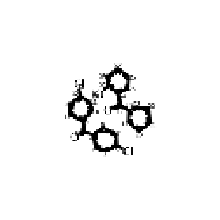 O=C(c1ccc(Cl)cc1)c1ccc(Cl)cc1.O=C(c1ccccc1)c1ccccc1O